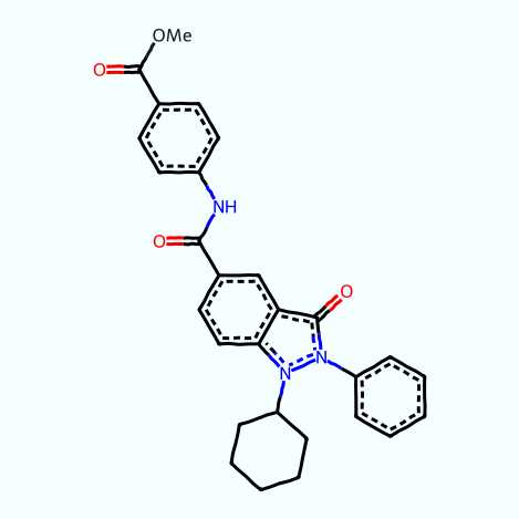 COC(=O)c1ccc(NC(=O)c2ccc3c(c2)c(=O)n(-c2ccccc2)n3C2CCCCC2)cc1